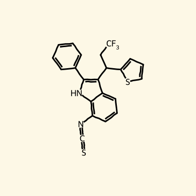 FC(F)(F)CC(c1cccs1)c1c(-c2ccccc2)[nH]c2c(N=C=S)cccc12